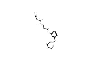 N#CCC(=O)NCCCOc1cccc(CN2CCCCC2)c1